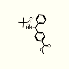 COC(=O)c1ccc([C@H](N[S@@+]([O-])C(C)(C)C)c2ccccc2)cc1